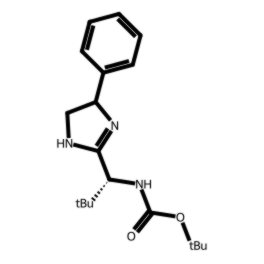 CC(C)(C)OC(=O)N[C@@H](C1=NC(c2ccccc2)CN1)C(C)(C)C